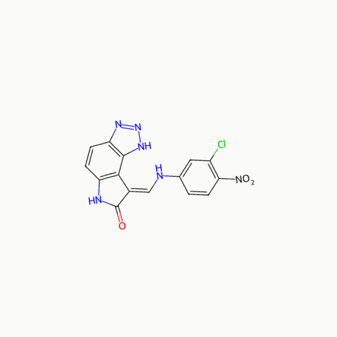 O=C1Nc2ccc3nn[nH]c3c2/C1=C\Nc1ccc([N+](=O)[O-])c(Cl)c1